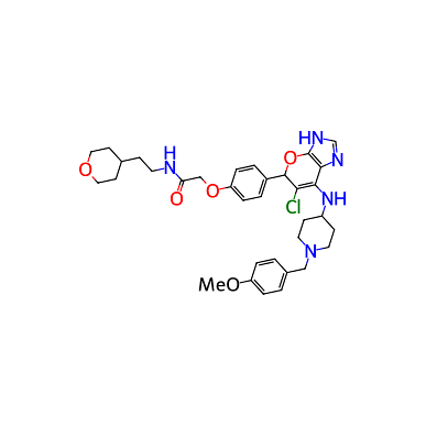 COc1ccc(CN2CCC(NC3=C(Cl)C(c4ccc(OCC(=O)NCCC5CCOCC5)cc4)Oc4[nH]cnc43)CC2)cc1